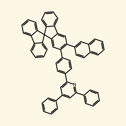 c1ccc(-c2cc(-c3ccccc3)nc(-c3ccc(-c4cc5c(cc4-c4ccc6ccccc6c4)-c4ccccc4C54c5ccccc5-c5ccccc54)cc3)c2)cc1